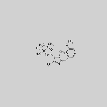 Cc1nn(Cc2cccc(OC(F)(F)F)c2)c(C)c1B1OC(C)(C)C(C)(C)O1